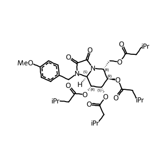 COc1ccc(CN2C(=O)C(=O)N3[C@H](COC(=O)CC(C)C)[C@@H](OC(=O)CC(C)C)[C@H](OC(=O)CC(C)C)[C@H](OC(=O)CC(C)C)[C@@H]23)cc1